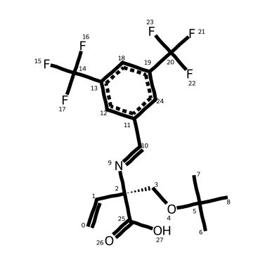 C=C[C@@](COC(C)(C)C)(N=Cc1cc(C(F)(F)F)cc(C(F)(F)F)c1)C(=O)O